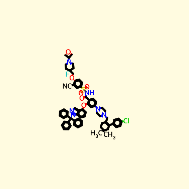 CC1(C)CCC(CN2CCN(c3ccc(C(=O)NS(=O)(=O)c4ccc(OCC5(F)CCN(C6COC6)CC5)c(C#N)c4)c(Oc4cccc5c4cnn5C(c4ccccc4)(c4ccccc4)c4ccccc4)c3)CC2)=C(c2ccc(Cl)cc2)C1